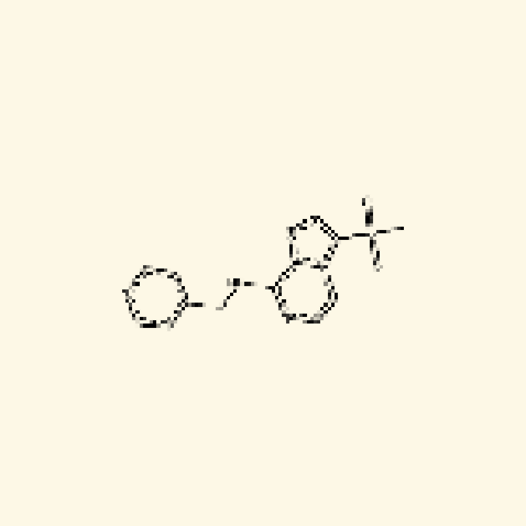 CS(=O)(=O)c1cnc2c(NCc3ccncc3)nccn12